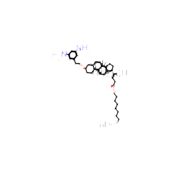 CCCCCCCCCCCCCCCCCCOC(=O)CCC(C)[C@H]1CC[C@H]2[C@@H]3CCC4CC(OCCc5cc(N)cc(N)c5)CC[C@]4(C)[C@H]3CC[C@]12C